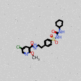 COc1ncc(Cl)cc1C(=O)NCCc1ccc(S(=O)(=O)NC(=O)NC2CCCCC2)cc1